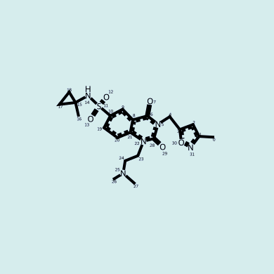 Cc1cc(Cn2c(=O)c3cc(S(=O)(=O)NC4(C)CC4)ccc3n(CCN(C)C)c2=O)on1